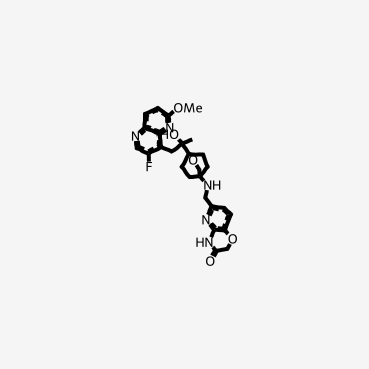 COc1ccc2ncc(F)c(CC(C)(O)C34CCC(NCc5ccc6c(n5)NC(=O)CO6)(CC3)CO4)c2n1